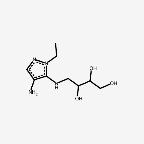 CCn1ncc(N)c1NCC(O)C(O)CO